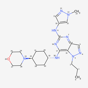 CCCn1ncc2nc(Nc3cnn(C)c3)nc(N[C@H]3CC[C@H](N4CCOCC4)CC3)c21